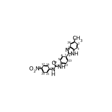 Cc1ccc2[nH]c(-c3ccc(NC(=O)Nc4ccc([N+](=O)[O-])cc4)cc3)nc2c1